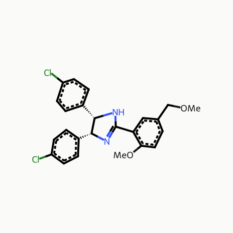 COCc1ccc(OC)c(C2=N[C@H](c3ccc(Cl)cc3)[C@H](c3ccc(Cl)cc3)N2)c1